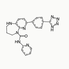 O=C(Nc1ccccn1)N1CCCNc2ccc(-c3ccc(-c4nnn[nH]4)cc3)nc21